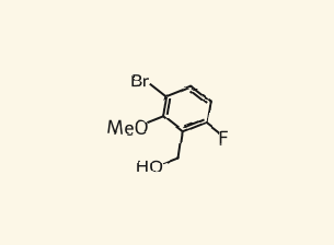 COc1c(Br)ccc(F)c1CO